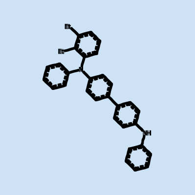 CCc1cccc(N(c2ccccc2)c2ccc(-c3ccc(Nc4ccccc4)cc3)cc2)c1CC